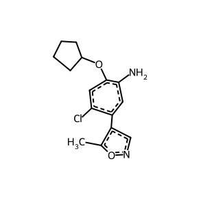 Cc1oncc1-c1cc(N)c(OC2CCCC2)cc1Cl